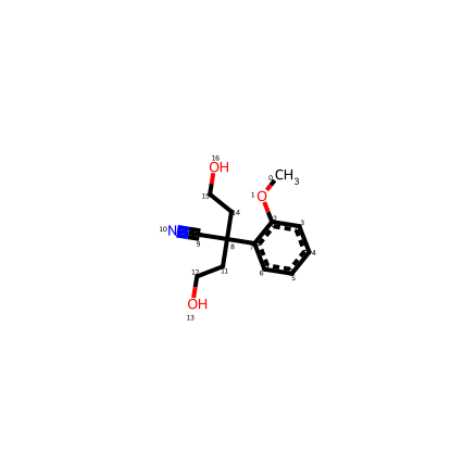 COc1ccccc1C(C#N)(CCO)CCO